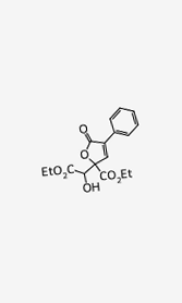 CCOC(=O)C(O)C1(C(=O)OCC)C=C(c2ccccc2)C(=O)O1